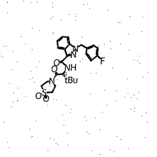 CC(C)(C)[C@H](NC(=O)c1nn(Cc2ccc(F)cc2)c2ccccc12)C(=O)N1CCS(=O)(=O)CC1